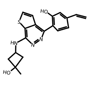 C=Cc1ccc(-c2nnc(NC3CC(C)(O)C3)c3sccc23)c(O)c1